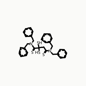 S=C(CC(S)(S)C(=S)N(Cc1ccccc1)Cc1ccccc1)N(Cc1ccccc1)Cc1ccccc1